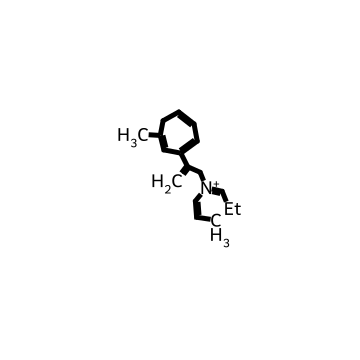 C=C(C[N+](/C=C\C)=C/CC)C1=CC=CCC(C)=C1